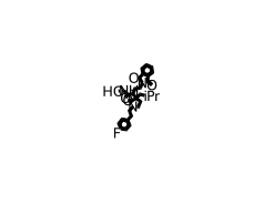 CC(C)CC1(C(CCN2C(=O)c3ccccc3C2=O)C(=O)NO)CCN(CCc2ccc(F)cc2)C1=O